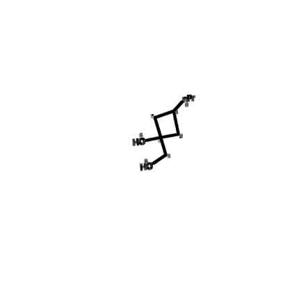 CCCC1CC(O)(CO)C1